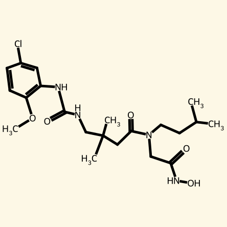 COc1ccc(Cl)cc1NC(=O)NCC(C)(C)CC(=O)N(CCC(C)C)CC(=O)NO